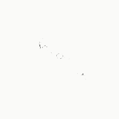 C=CC(=O)OCCCCCCOc1ccc(C=Cc2ccc(S(=O)(=O)C[C@H](C)CC)cc2)cc1